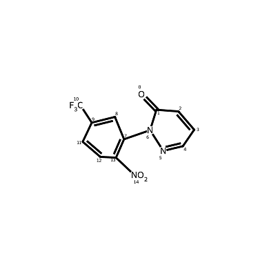 O=c1cccnn1-c1cc(C(F)(F)F)ccc1[N+](=O)[O-]